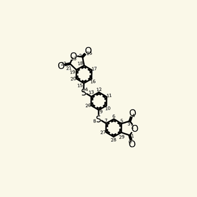 O=C1OC(=O)c2cc(Sc3cccc(Sc4ccc5c(c4)C(=O)OC5=O)c3)ccc21